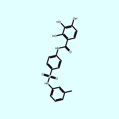 Cc1cccc(NS(=O)(=O)c2ccc(NC(=O)c3ccc(O)c(O)c3O)cc2)c1